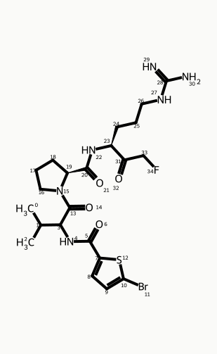 CC(C)C(NC(=O)c1ccc(Br)s1)C(=O)N1CCC[C@H]1C(=O)N[C@@H](CCCNC(=N)N)C(=O)CF